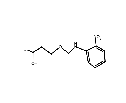 O=[N+]([O-])c1ccccc1NCOCCC(O)O